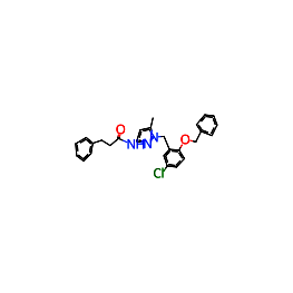 Cc1cc(NC(=O)CCc2ccccc2)nn1Cc1cc(Cl)ccc1OCc1ccccc1